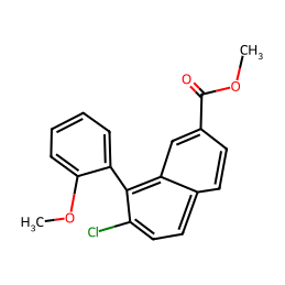 COC(=O)c1ccc2ccc(Cl)c(-c3ccccc3OC)c2c1